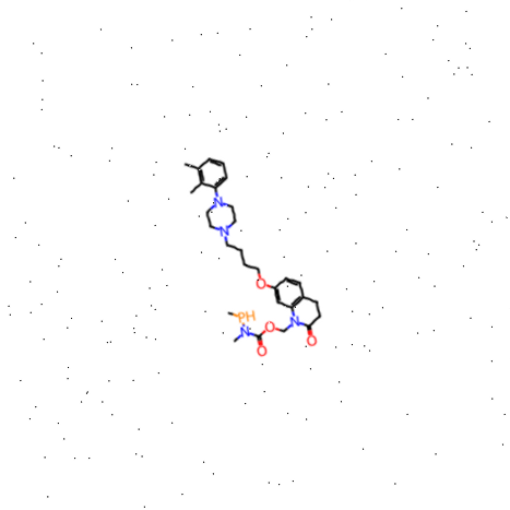 CPN(C)C(=O)OCN1C(=O)CCc2ccc(OCCCCN3CCN(c4cccc(C)c4C)CC3)cc21